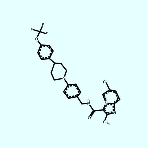 Cc1nc2ccc(Cl)cn2c1C(=O)NCc1ccc(N2CCC(c3ccc(OC(F)(F)F)cc3)CC2)cc1